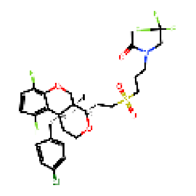 CC(=O)N(CCCS(=O)(=O)CC[C@@H]1OCC[C@@]2(Cc3ccc(Cl)cc3)c3c(F)ccc(F)c3OC[C@@H]12)CC(F)(F)F